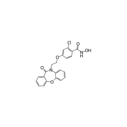 O=C(NO)c1ccc(OCCN2C(=O)c3ccccc3Oc3ccccc32)cc1Cl